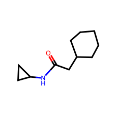 O=C(CC1CCCCC1)NC1CC1